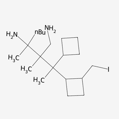 CCCCC(C)(N)C(C)(CN)C(C)(C1CCC1)C1CCC1CI